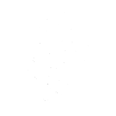 NC[C@](N)(c1ccc2c(c1)OC(F)(F)O2)c1cc(-c2ccc(C(F)(F)F)c(Cl)c2)ncn1